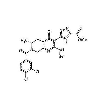 COC(=O)c1nnc(-n2c(NC(C)C)nc3c(c2=O)C[C@@H](C)N(C(=O)c2ccc(Cl)c(Cl)c2)C3)[nH]1